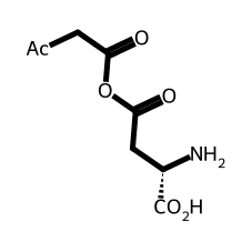 CC(=O)CC(=O)OC(=O)C[C@H](N)C(=O)O